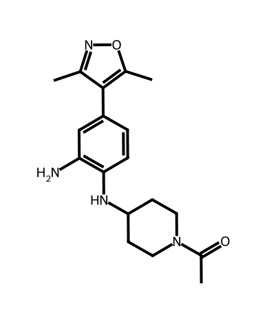 CC(=O)N1CCC(Nc2ccc(-c3c(C)noc3C)cc2N)CC1